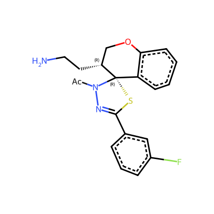 CC(=O)N1N=C(c2cccc(F)c2)S[C@]12c1ccccc1OC[C@H]2CCN